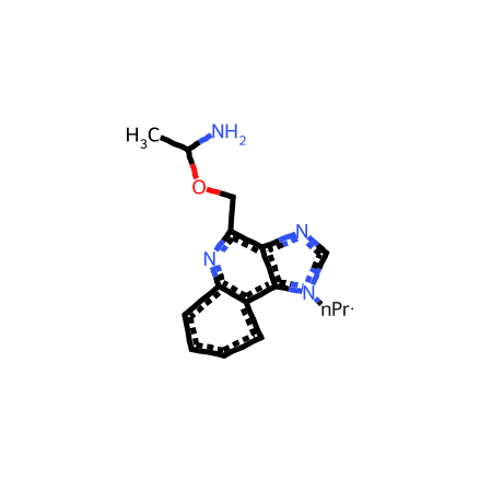 CC[CH]n1cnc2c(COC(C)N)nc3ccccc3c21